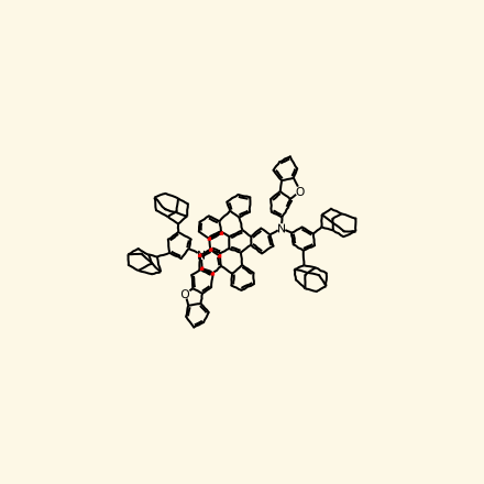 c1ccc(-c2ccccc2-c2c3ccc(N(c4cc(C5C6CC7CC(C6)CC5C7)cc(C5C6CC7CC(C6)CC5C7)c4)c4ccc5c(c4)oc4ccccc45)cc3c(-c3ccccc3-c3ccccc3)c3ccc(N(c4cc(C5C6CC7CC(C6)CC5C7)cc(C5C6CC7CC(C6)CC5C7)c4)c4ccc5c(c4)oc4ccccc45)cc23)cc1